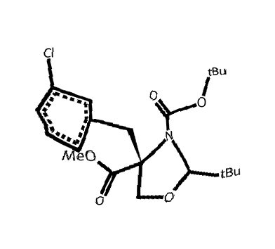 COC(=O)[C@@]1(Cc2cccc(Cl)c2)COC(C(C)(C)C)N1C(=O)OC(C)(C)C